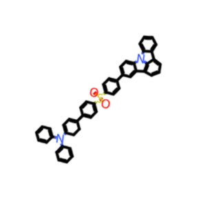 O=S(=O)(c1ccc(C2=CC=C(N(c3ccccc3)c3ccccc3)CC2)cc1)c1ccc(-c2ccc3c(c2)c2cccc4c5ccccc5n3c42)cc1